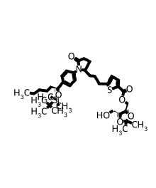 CCCCC[C@H](O[Si](C)(C)C(C)(C)C)c1ccc(N2C(=O)CCC2CCCc2ccc(C(=O)OC[C@H]3OC(C)(C)O[C@@H]3CO)s2)cc1